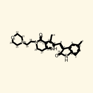 Cc1ccc2c(c1)/C(=C/c1[nH]c3c(c1C)C(=O)N(CCN1CCOCC1)CC3)C(=O)N2